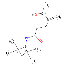 C=C(CCC(=O)NC1C(C)(C)CC1(C)C)C(C)=O